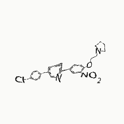 O=[N+]([O-])c1cc(-c2ccc(-c3ccc(Cl)cc3)cn2)ccc1OCCN1CCCC1